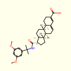 COc1cc(OC)cc(C(C)(C)NC(=O)[C@H]2CC[C@H]3[C@@H]4CC=C5C=C(C(=O)O)CC[C@]5(C)[C@H]4CC[C@]23C)c1